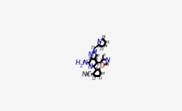 Cc1ncoc1-c1c(-c2ccccc2C#N)nc(N)c2nn(Cc3ccccn3)cc12